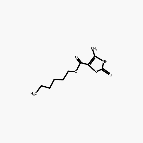 CCCCCCOC(=O)c1sc(=O)[nH]c1C